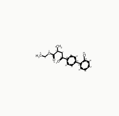 CCOC(=O)C(C)CC(=O)c1ccc(-c2ccccc2Cl)cc1